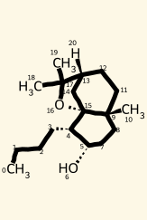 CCCC[C@H]1[C@@H](O)CC[C@@]2(C)CC[C@@H]3C[C@]12OC3(C)C